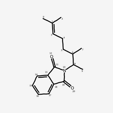 CC(C)=CCCC(C)C(C)N1C(=O)c2ccccc2C1=O